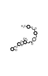 Cc1ccc(OCC(=O)c2ccc(CN3CCN(C(=O)C=Cc4cc(C)c(Oc5ccc(OCc6ccccc6Cl)cn5)c(Cl)c4)CC3)cc2)cc1